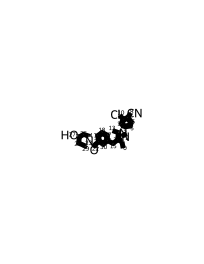 Cc1nn(-c2ccc(C#N)c(Cl)c2)c(C)c1Cc1cccc(C(=O)N2CCC(O)CC2)c1